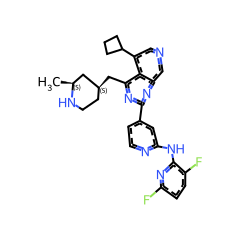 C[C@H]1C[C@@H](Cc2nc(-c3ccnc(Nc4nc(F)ccc4F)c3)nc3cncc(C4CCC4)c23)CCN1